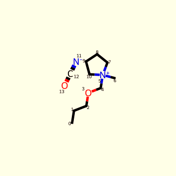 CCCOC[N+]1(C)CCCC1.[N-]=C=O